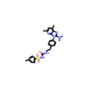 Cc1ccc(S(=O)(=O)NC(=O)NCCc2ccc(-n3c(N(C)C)nc4c(C)cc(C)nc43)cc2)cc1